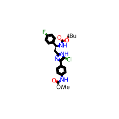 COC(=O)Nc1ccc(-c2nc(C[C@H](NC(=O)OC(C)(C)C)c3ccc(F)cc3)[nH]c2Cl)cc1